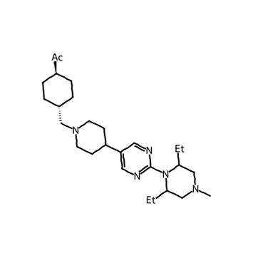 CCC1CN(C)CC(CC)N1c1ncc(C2CCN(C[C@H]3CC[C@H](C(C)=O)CC3)CC2)cn1